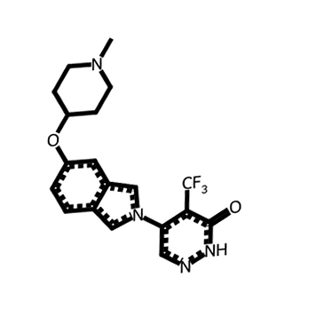 CN1CCC(Oc2ccc3cn(-c4cn[nH]c(=O)c4C(F)(F)F)cc3c2)CC1